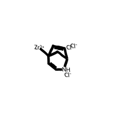 [Cl-].[Cl-].[Cl-].[Zr+3][C]12C=CNC(C=C1)C2